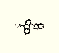 NC1c2ccccc2-c2c(-c3cnc4ccccc4c3)cccc21